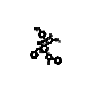 CC(C)CN(C[C@H](O)[C@H](Cc1ccccc1)NC(=O)[C@H]1CN(c2ccccc2)C(=O)O1)S(=O)(=O)c1ccc(N)cc1